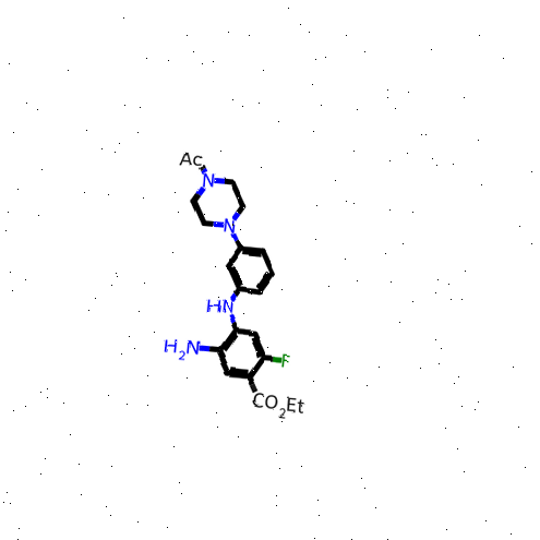 CCOC(=O)c1cc(N)c(Nc2cccc(N3CCN(C(C)=O)CC3)c2)cc1F